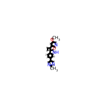 COc1cncc(C2CC[C@@]23C(=O)Nc2cc(-c4cnc(C)nc4)ccc23)c1